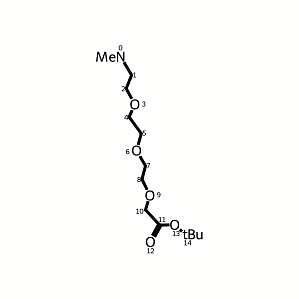 CNCCOCCOCCOCC(=O)OC(C)(C)C